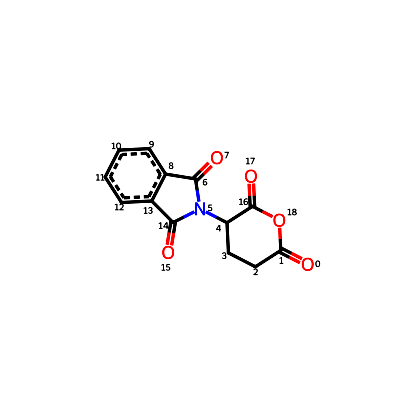 O=C1CCC(N2C(=O)c3ccccc3C2=O)C(=O)O1